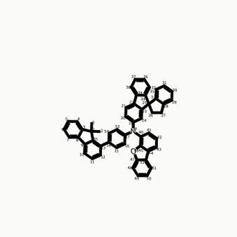 CC1(C)c2ccccc2-c2cccc(-c3ccc(N(c4ccc5c(c4)C4(CCc6ccccc64)c4ccccc4-5)c4cccc5c4oc4ccccc45)cc3)c21